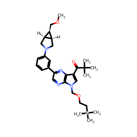 COC[C@H]1[C@H]2CN(c3cccc(-c4cnc5c(n4)c(C(=O)C(C)(C)C)cn5COCC[Si](C)(C)C)c3)C[C@@H]12